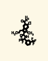 C=CCc1c(C(=O)NC(c2cccc(C(F)(F)F)c2)C(F)(F)F)n(C)c2cc(Cl)c(C(N)=O)cc12